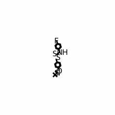 CC(C)(C)[Si](C)(C)Oc1ccc(CSC(=S)Nc2ccc(F)cc2)cc1